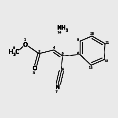 COC(=O)C=C(C#N)c1ccccc1.N